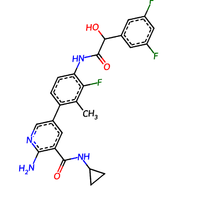 Cc1c(-c2cnc(N)c(C(=O)NC3CC3)c2)ccc(NC(=O)C(O)c2cc(F)cc(F)c2)c1F